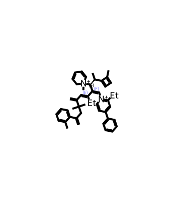 C=C(CC(C)(C)C(=C)/C=C(CC)/C(=C\[n+]1ccc(-c2ccccc2)cc1CC)[C@H](C(C)C1=CC=C1C)[N+]1(C)C=CC=CC1)c1ccccc1C